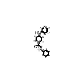 O=C(CNc1ccccc1)N1CCC(Nc2cccnc2)CC1